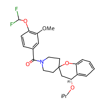 COc1cc(C(=O)N2CCC3(CC2)C[C@@H](OC(C)C)c2ccccc2O3)ccc1OC(F)F